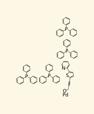 [Pd][O]CC#Cc1ccc(-c2ccccn2)s1.c1ccc(P(c2ccccc2)c2ccccc2)cc1.c1ccc(P(c2ccccc2)c2ccccc2)cc1.c1ccc(P(c2ccccc2)c2ccccc2)cc1.c1ccc(P(c2ccccc2)c2ccccc2)cc1